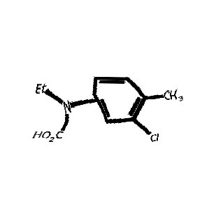 CCN(C(=O)O)c1ccc(C)c(Cl)c1